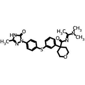 C/C(=N\C(=O)C1(c2cccc(Sc3ccc(-n4nc(C)[nH]c4=O)cc3)c2)CCOCC1)N(C)C